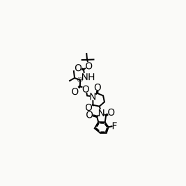 CC(C)[C@H](NC(=O)OC(C)(C)C)C(=O)OCN1C(=O)CCC(N2C(=O)c3cccc(F)c3C2=O)C1=O